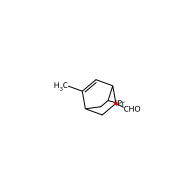 CC1=CC2C(C=O)CC1CC2C(C)C